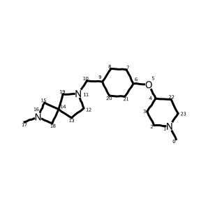 CN1CCC(OC2CCC(CN3CCC4(CN(C)C4)C3)CC2)CC1